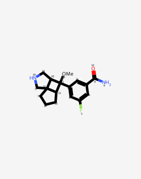 COC1(c2cc(F)cc(C(N)=O)c2)C2CCCC23CNCC31